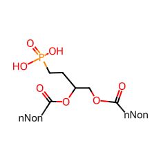 CCCCCCCCCC(=O)OCC(CCP(=O)(O)O)OC(=O)CCCCCCCCC